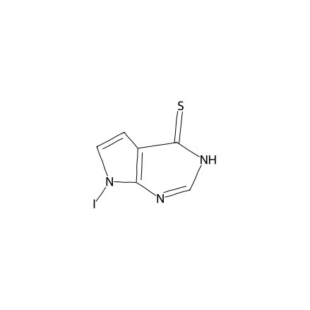 S=c1[nH]cnc2c1ccn2I